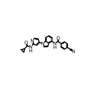 N#Cc1ccc(C(=O)Nc2cccc3c2ccn3-c2ccnc(NC(=O)C3CC3)c2)cc1